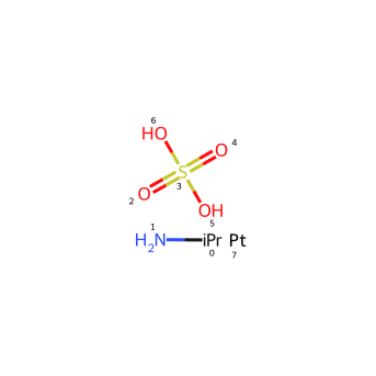 CC(C)N.O=S(=O)(O)O.[Pt]